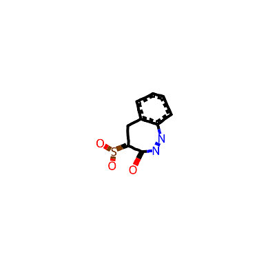 O=C1N=Nc2ccccc2CC1=S(=O)=O